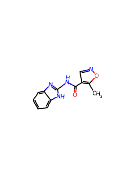 Cc1oncc1C(=O)Nc1nc2ccccc2[nH]1